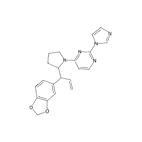 C=CC(c1ccc2c(c1)OCO2)C1CCCN1c1ccnc(-n2ccnc2)n1